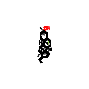 CC=C1CC[C@H]2[C@@H]3CCC4C[C@](C)(O)CC[C@]4(CF)[C@H]3CC[C@]12C